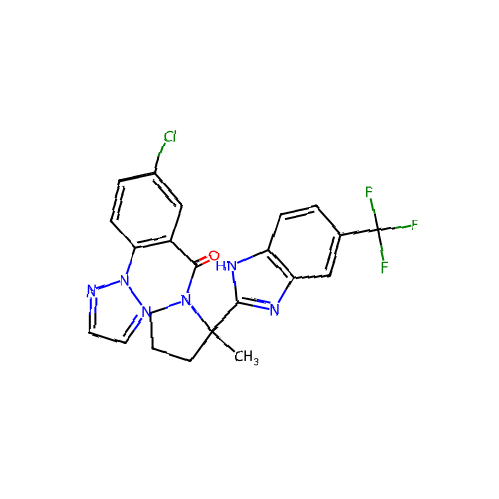 CC1(c2nc3cc(C(F)(F)F)ccc3[nH]2)CCCN1C(=O)c1cc(Cl)ccc1-n1nccn1